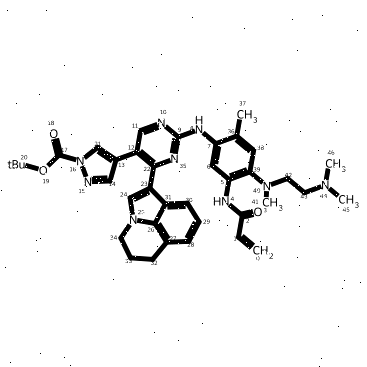 C=CC(=O)Nc1cc(Nc2ncc(-c3cnn(C(=O)OC(C)(C)C)c3)c(-c3cn4c5c(cccc35)CCC4)n2)c(C)cc1N(C)CCN(C)C